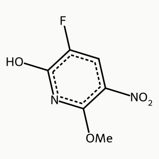 COc1nc(O)c(F)cc1[N+](=O)[O-]